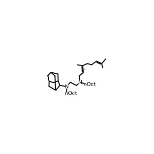 CCCCCCCCN(C/C=C(\C)CCC=C(C)C)CCN(CCCCCCCC)C1C2CC3CC(C2)CC1C3